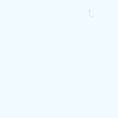 CCC(C)OCCOCCCN1CCNCC1